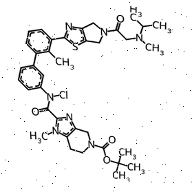 Cc1c(-c2cccc(N(Cl)C(=O)c3nc4c(n3C)CCN(C(=O)OC(C)(C)C)C4)c2)cccc1-c1nc2c(s1)CN(C(=O)CN(C)C(C)C)C2